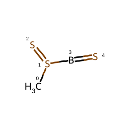 CS(=S)B=S